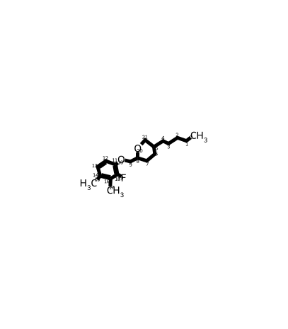 CCCCCC1CCC(COc2ccc(C)c(C)c2F)OC1